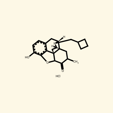 CC1C[C@H]2[C@H]3Cc4ccc(O)c5c4[C@@]2(CCN3CC2CCC2)C(O5)C1=O.Cl